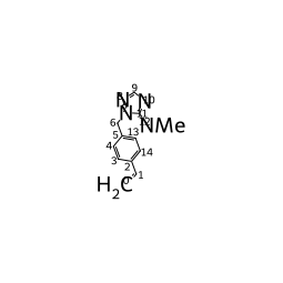 C=Cc1ccc(Cn2ncnc2NC)cc1